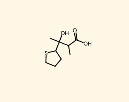 CC(C(=O)O)C(C)(O)C1CCCS1